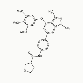 COc1cc(Oc2nc(-c3ccc(NC(=O)C4CCOC4)cc3)nn3c(C)nc(C)c23)cc(OC)c1OC